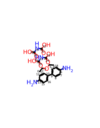 CCOCC.Nc1ccc(-c2ccc(N)cc2)cc1.O=C(O)NC(=O)O.O=C(O)NC(=O)O